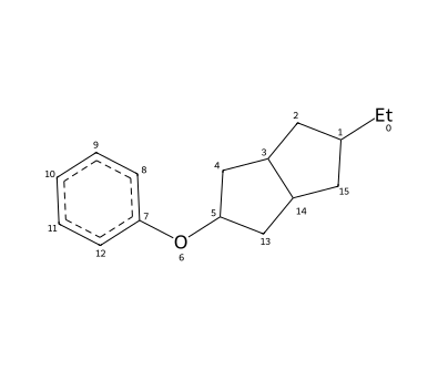 CCC1CC2CC(Oc3ccccc3)CC2C1